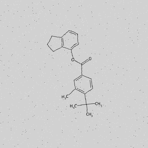 Cc1cc(C(=O)Oc2cccc3c2CCC3)ccc1C(C)(C)C